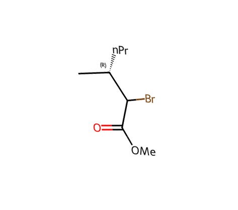 CCC[C@@H](C)C(Br)C(=O)OC